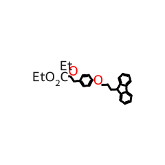 CCOC(=O)C(Cc1ccc(OCCCC2c3ccccc3-c3ccccc32)cc1)OCC